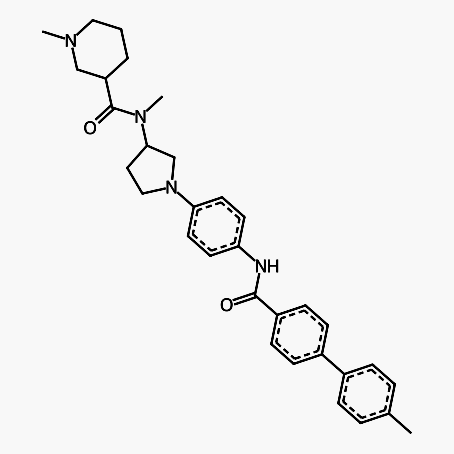 Cc1ccc(-c2ccc(C(=O)Nc3ccc(N4CCC(N(C)C(=O)C5CCCN(C)C5)C4)cc3)cc2)cc1